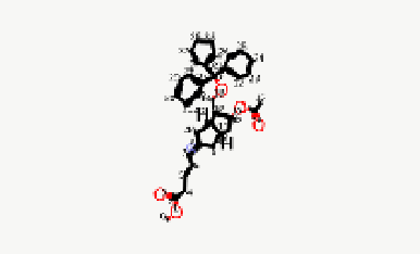 COC(=O)CCC/C=C1\C[C@@H]2C[C@@H](OC(C)=O)[C@H](COC(c3ccccc3)(c3ccccc3)c3ccccc3)[C@@H]2C1